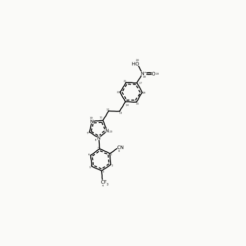 N#Cc1cc(C(F)(F)F)ccc1-n1cnc(CCc2ccc([N+](=O)O)cc2)n1